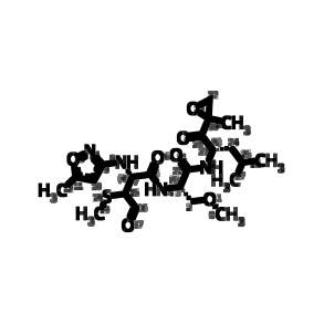 COC[C@H](NC(=O)[C@@H](Nc1cc(C)on1)C(C=O)SC)C(=O)N[C@@H](CC(C)C)C(=O)C1(C)CO1